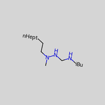 CCCCCCCCCN(C)NCNC(C)CC